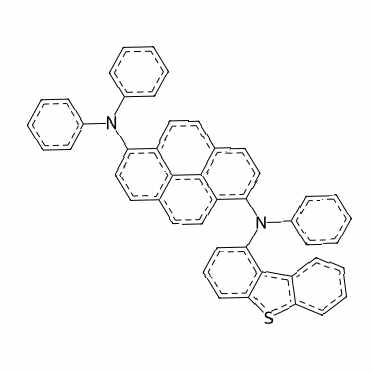 c1ccc(N(c2ccccc2)c2ccc3ccc4c(N(c5ccccc5)c5cccc6sc7ccccc7c56)ccc5ccc2c3c54)cc1